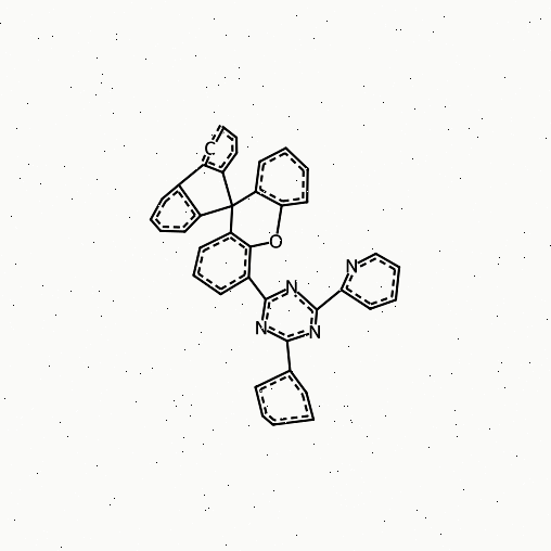 c1ccc(-c2nc(-c3ccccn3)nc(-c3cccc4c3Oc3ccccc3C43c4ccccc4-c4ccccc43)n2)cc1